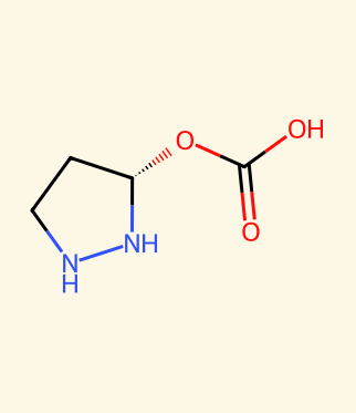 O=C(O)O[C@H]1CCNN1